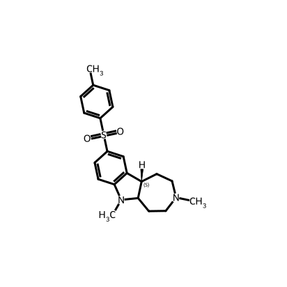 Cc1ccc(S(=O)(=O)c2ccc3c(c2)[C@@H]2CCN(C)CCC2N3C)cc1